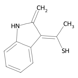 C=c1[nH]c2ccccc2/c1=C(/C)S